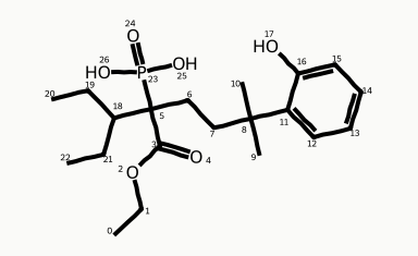 CCOC(=O)C(CCC(C)(C)c1ccccc1O)(C(CC)CC)P(=O)(O)O